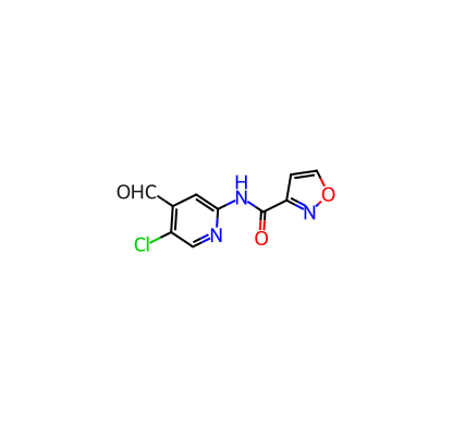 O=Cc1cc(NC(=O)c2ccon2)ncc1Cl